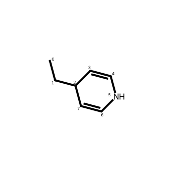 CCC1C=CNC=C1